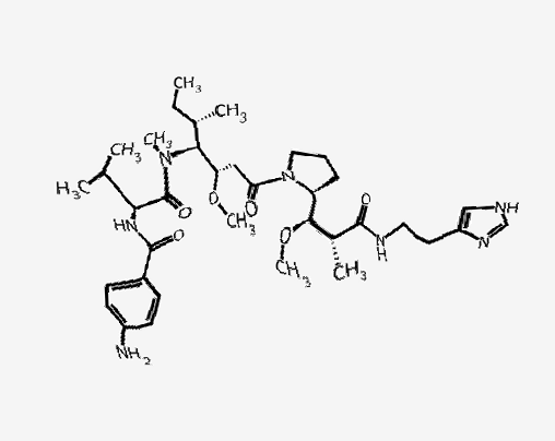 CC[C@H](C)[C@@H]([C@H](CC(=O)N1CCC[C@H]1[C@H](OC)[C@@H](C)C(=O)NCCc1c[nH]cn1)OC)N(C)C(=O)[C@@H](NC(=O)c1ccc(N)cc1)C(C)C